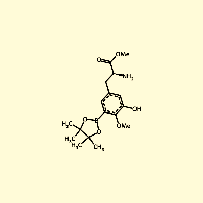 COC(=O)[C@@H](N)Cc1cc(O)c(OC)c(B2OC(C)(C)C(C)(C)O2)c1